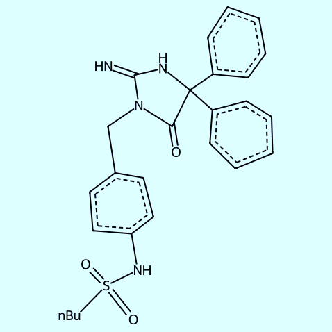 CCCCS(=O)(=O)Nc1ccc(CN2C(=N)NC(c3ccccc3)(c3ccccc3)C2=O)cc1